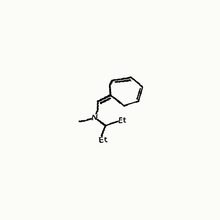 CCC(CC)N(C)/C=C1/C=CC=CC1